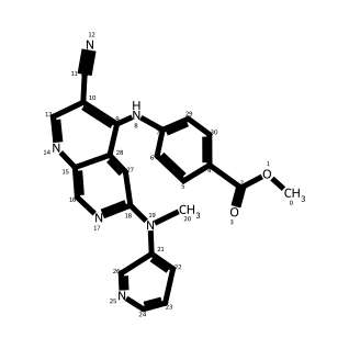 COC(=O)c1ccc(Nc2c(C#N)cnc3cnc(N(C)c4cccnc4)cc23)cc1